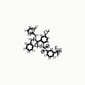 COc1ccc(NS(=O)(=O)c2cccc(C(F)(F)F)c2)c(C(=O)N(Cc2ccccc2)Cc2nccn2C)c1